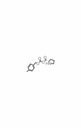 Cc1ccc(COC(=O)OC(=O)[C@@H]2CCCN2)cc1